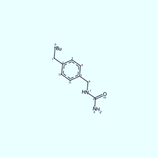 CC(C)(C)Cc1ccc(CNC(N)=O)cc1